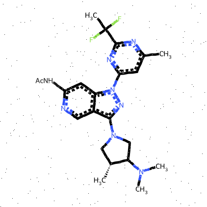 CC(=O)Nc1cc2c(cn1)c(N1CC(N(C)C)[C@H](C)C1)nn2-c1cc(C)nc(C(C)(F)F)n1